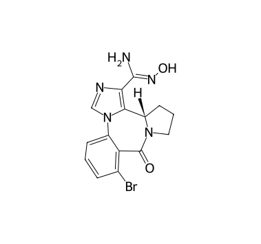 NC(=NO)c1ncn2c1[C@@H]1CCCN1C(=O)c1c(Br)cccc1-2